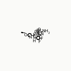 C#CCOc1ccc(C(=O)Nc2cc(F)c(F)c([C@]3(C)N=C(N)S[C@@]4(S(C)(=O)=O)C[C@@H]34)c2)nc1